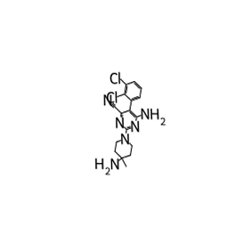 CC1(N)CCN(c2nc(N)c(-c3cccc(Cl)c3Cl)c(C#N)n2)CC1